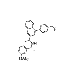 COc1cccc([C@@H](C)NC(C)c2cc(-c3ccc(CF)cc3)c3ccccc3c2)c1